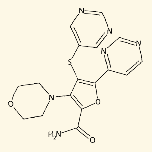 NC(=O)c1oc(-c2ccncn2)c(Sc2cncnc2)c1N1CCOCC1